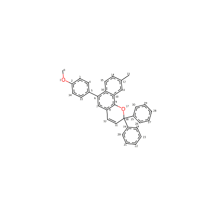 COc1ccc(-c2cc3c(c4cc(C)ccc24)OC(c2ccccc2)(c2ccccc2)C=C3)cc1